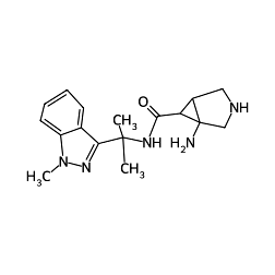 Cn1nc(C(C)(C)NC(=O)C2C3CNCC32N)c2ccccc21